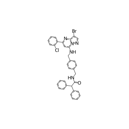 O=C(NCc1ccc(CNc2cc(-c3ccccc3Cl)nc3c(Br)cnn23)cc1)C(c1ccccc1)c1ccccc1